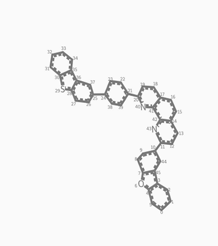 c1ccc2c(c1)oc1ccc(-c3ccc4ccc5ccc(-c6ccc(-c7ccc8sc9ccccc9c8c7)cc6)nc5c4n3)cc12